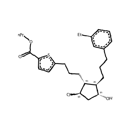 CCCOC(=O)c1ccc(CCC[C@@H]2[C@@H](CCCc3cccc(CC)c3)[C@H](O)C[C@H]2Cl)s1